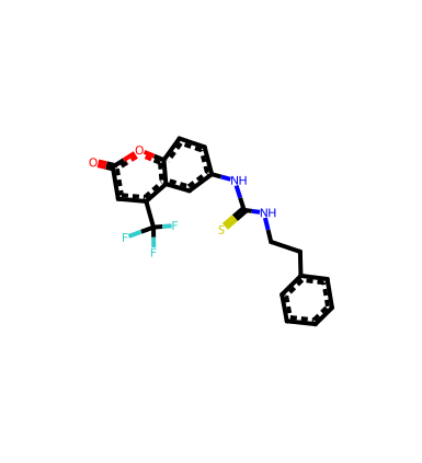 O=c1cc(C(F)(F)F)c2cc(NC(=S)NCCc3ccccc3)ccc2o1